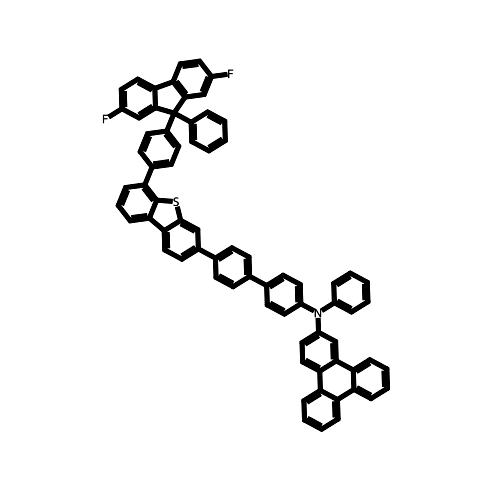 Fc1ccc2c(c1)C(c1ccccc1)(c1ccc(-c3cccc4c3sc3cc(-c5ccc(-c6ccc(N(c7ccccc7)c7ccc8c9ccccc9c9ccccc9c8c7)cc6)cc5)ccc34)cc1)c1cc(F)ccc1-2